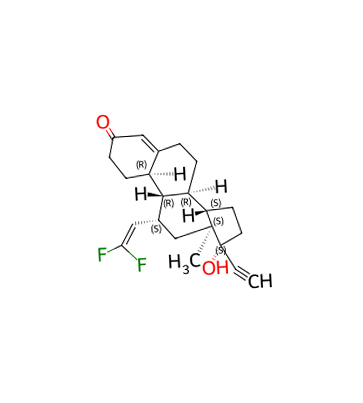 C#C[C@]1(O)CC[C@H]2[C@@H]3CCC4=CC(=O)CC[C@@H]4[C@H]3[C@@H](C=C(F)F)C[C@@]21C